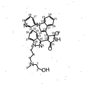 CN(CCO)CCCn1nc(C2=C(c3cn(-c4cccnc4)c4ccccc34)C(=O)NC2=O)c2ccccc21